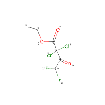 CCOC(=O)C(Cl)(Cl)C(=O)C(F)F